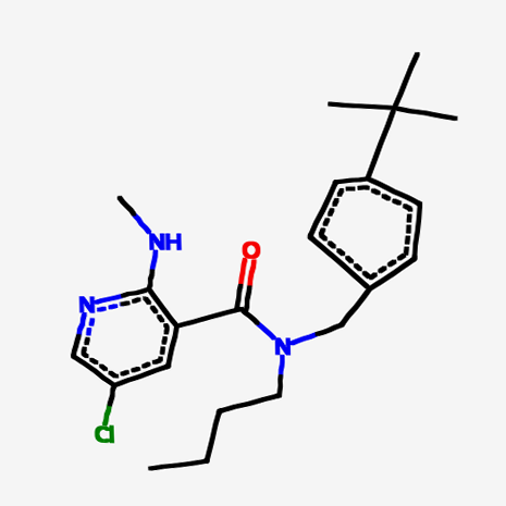 CCCCN(Cc1ccc(C(C)(C)C)cc1)C(=O)c1cc(Cl)cnc1NC